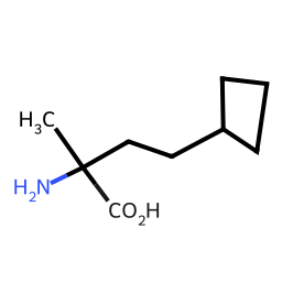 CC(N)(CCC1CCC1)C(=O)O